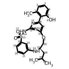 Cc1cccc(O)c1-c1cc2nc(n1)NS(=O)(=O)c1cccc(c1)N[C@H](CC(C)C)CO2